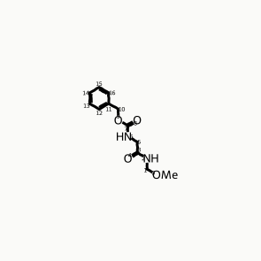 COCNC(=O)CNC(=O)OCc1ccccc1